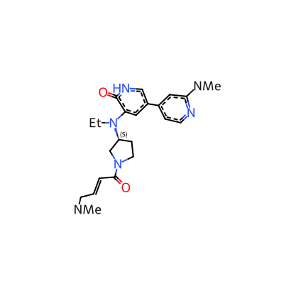 CCN(c1cc(-c2ccnc(NC)c2)c[nH]c1=O)[C@H]1CCN(C(=O)C=CCNC)C1